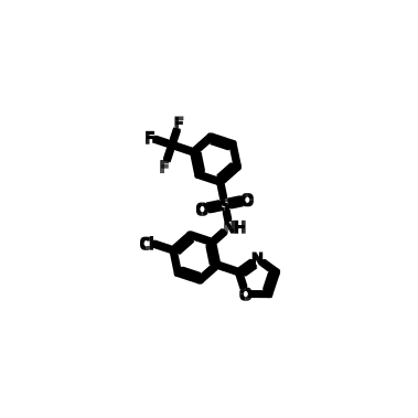 O=S(=O)(Nc1cc(Cl)ccc1-c1ncco1)c1cccc(C(F)(F)F)c1